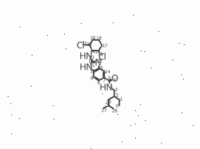 CCC(CNC(=O)c1ccc2[nH]c(NC3C(Cl)CCCC3Cl)nc2c1)CC(C)C